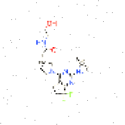 C[C@H]1CCN1c1nc(N2CC[C@H](CC(=O)NCCO)C2)c2c(n1)C(F)(F)CC2